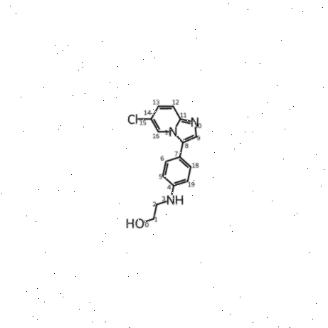 OCCNc1ccc(-c2cnc3ccc(Cl)cn23)cc1